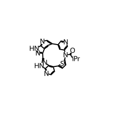 CC(C)C(=O)n1c2cncc(c2)c2cnc3[nH]nc(c4nc5c(nccc5c5ccc1s5)[nH]4)c3c2